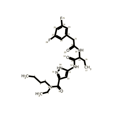 CCCCN(CC)C(=O)c1cc(NC(=O)C(CC)NC(=O)Cc2cc(F)cc(F)c2)[nH]n1